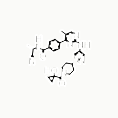 Cc1cnc(Nc2cnn(C3CCN(C(=O)C4(O)CC4)CC3)c2)nc1-c1ccc(C(=O)N[C@@H](C)C#N)cc1